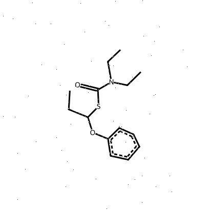 CCC(Oc1[c]cccc1)SC(=O)N(CC)CC